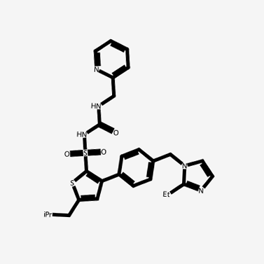 CCc1nccn1Cc1ccc(-c2cc(CC(C)C)sc2S(=O)(=O)NC(=O)NCc2ccccn2)cc1